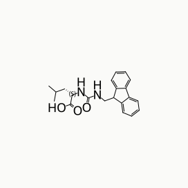 CC(C)C[C@H](NC(=O)NCC1c2ccccc2-c2ccccc21)C(=O)O